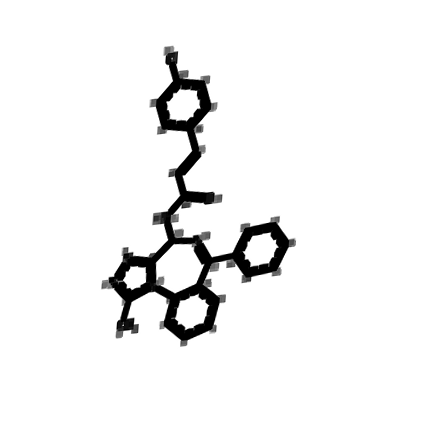 Cc1nnc2n1-c1ccccc1C(c1ccccc1)=NC2NC(=O)C=Cc1ccc(Cl)cc1